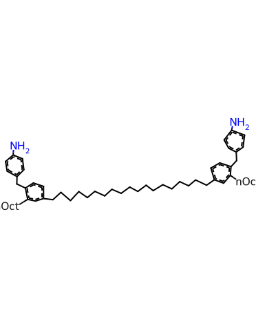 CCCCCCCCc1cc(CCCCCCCCCCCCCCCCCCCc2ccc(Cc3ccc(N)cc3)c(CCCCCCCC)c2)ccc1Cc1ccc(N)cc1